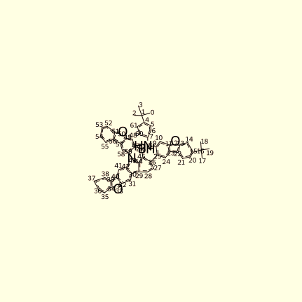 CC(C)(C)c1ccc(Nc2cc3oc4cc(C(C)(C)C)ccc4c3cc2-c2ccc3c4cc5oc6ccccc6c5cc4n4c3c2Bc2cc3oc5ccccc5c3cc2-4)cc1